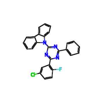 Fc1ccc(Cl)cc1-c1nc(-c2ccccc2)nc(-n2c3ccccc3c3ccccc32)n1